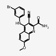 COc1[c]cc2c(Nc3cccc(Br)c3)c(C#N)c(C(N)=O)nc2c1